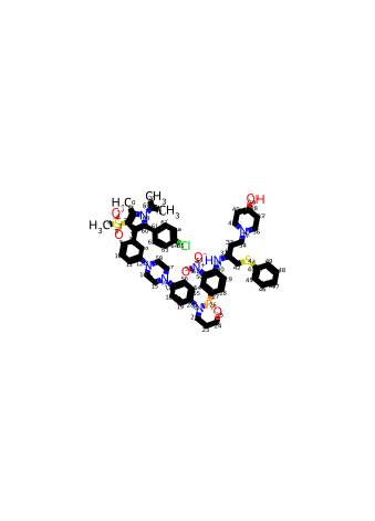 Cc1c(S(C)(=O)=O)c(-c2cccc(N3CCN(c4ccc(N5CCCOP5c5ccc(NC(CCN6CCC(O)CC6)CSc6ccccc6)c([N+](=O)[O-])c5)cc4)CC3)c2)c(-c2ccc(Cl)cc2)n1C(C)C